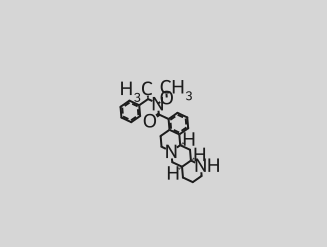 CON(C(=O)c1cccc2c1CCN1C[C@@H]3CCCN[C@@H]3C[C@H]21)[C@H](C)c1ccccc1